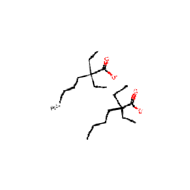 CCCCC(CC)(CC)C(=O)[O-].CCCCC(CC)(CC)C(=O)[O-].[Pt+2]